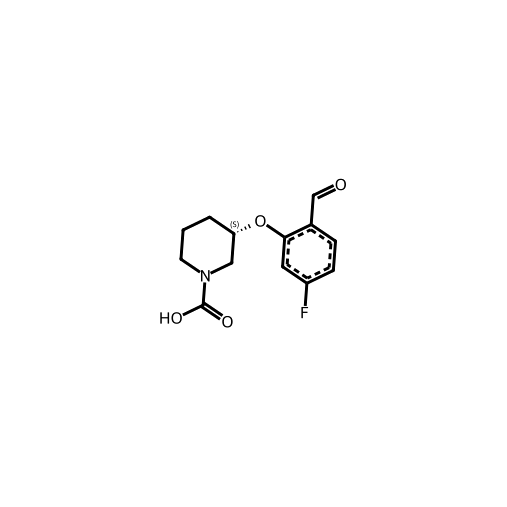 O=Cc1ccc(F)cc1O[C@H]1CCCN(C(=O)O)C1